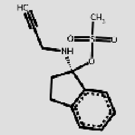 C#CCN[C@@]1(OS(C)(=O)=O)CCc2ccccc21